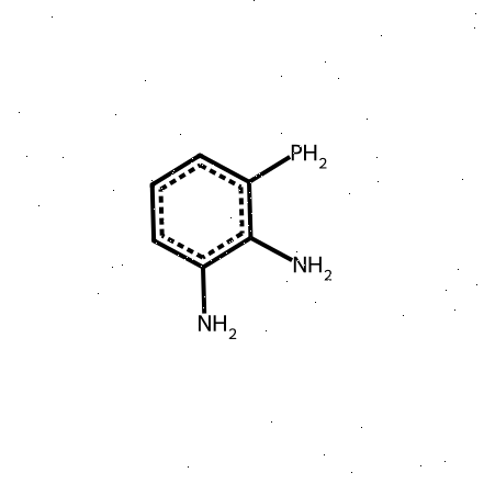 Nc1cccc(P)c1N